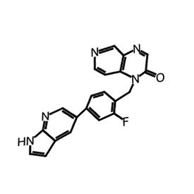 O=c1cnc2cnccc2n1Cc1ccc(-c2cnc3[nH]ccc3c2)cc1F